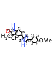 COc1ccc(-c2c[nH]c(-c3ccc4c(c3)C(C)(C)C(=O)N4)n2)cc1